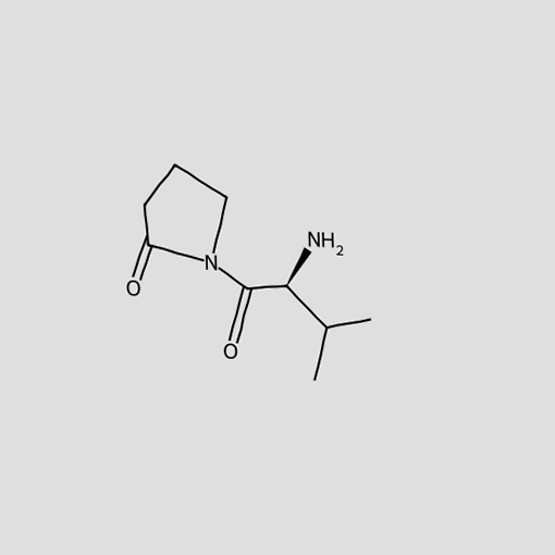 CC(C)[C@H](N)C(=O)N1CCCC1=O